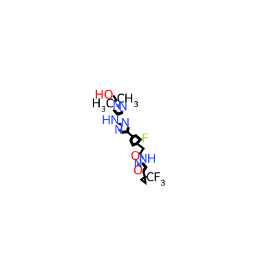 CC(C)(CO)n1cc(Nc2ncc(-c3ccc(CC(=O)Nc4cc(C5(C(F)(F)F)CC5)on4)c(F)c3)cn2)cn1